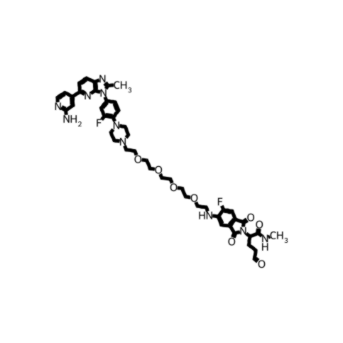 CNC(=O)C(CCC=O)N1C(=O)c2cc(F)c(NCCOCCOCCOCCOCCN3CCN(c4ccc(-n5c(C)nc6ccc(-c7ccnc(N)c7)nc65)cc4F)CC3)cc2C1=O